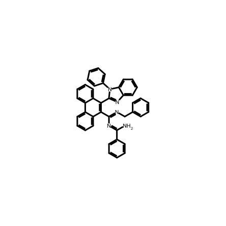 N/C(=N\C(=N/Cc1ccccc1)c1c(-c2nc3ccccc3n2-c2ccccc2)c2ccccc2c2ccccc12)c1ccccc1